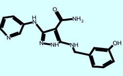 NC(=O)c1c(Nc2cccnc2)n[nH]c1NCc1cccc(O)c1